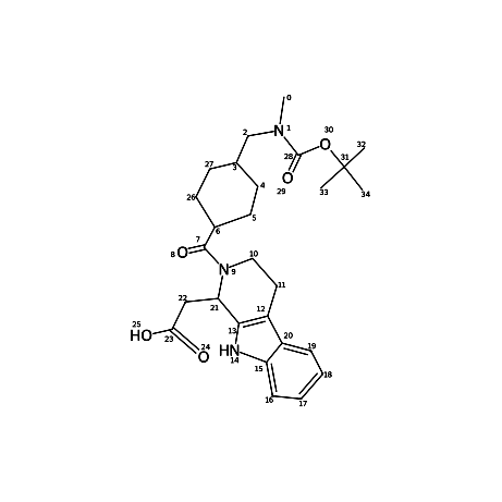 CN(CC1CCC(C(=O)N2CCc3c([nH]c4ccccc34)C2CC(=O)O)CC1)C(=O)OC(C)(C)C